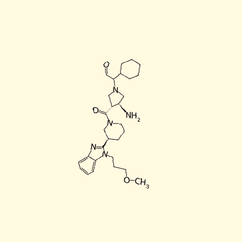 COCCCn1c([C@@H]2CCCN(C(=O)[C@@H]3CN(C(C=O)C4CCCCC4)C[C@H]3N)C2)nc2ccccc21